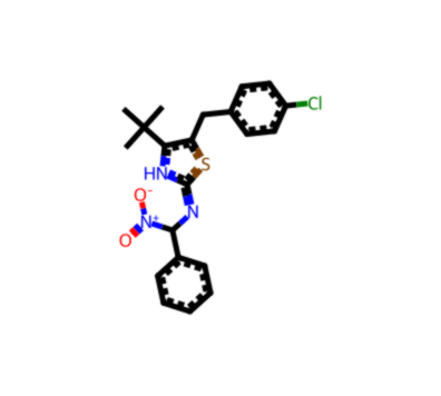 CC(C)(C)c1[nH]c(=NC(c2ccccc2)[N+](=O)[O-])sc1Cc1ccc(Cl)cc1